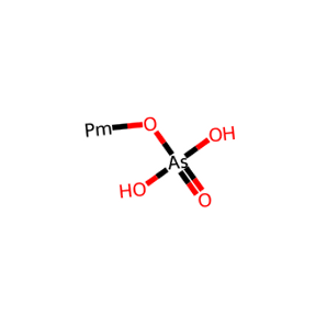 O=[As](O)(O)[O][Pm]